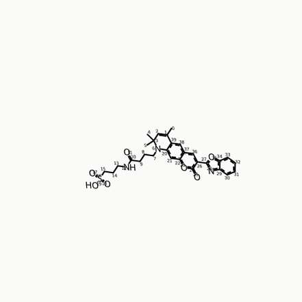 CC1=CC(C)(C)N(CCCC(=O)NCCCS(=O)(=O)O)c2cc3oc(=O)c(-c4nc5ccccc5o4)cc3cc21